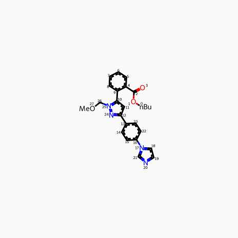 CCCCOC(=O)c1ccccc1-c1cc(-c2ccc(-n3ccnc3)cc2)nn1COC